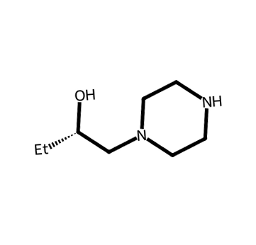 CC[C@H](O)CN1CCNCC1